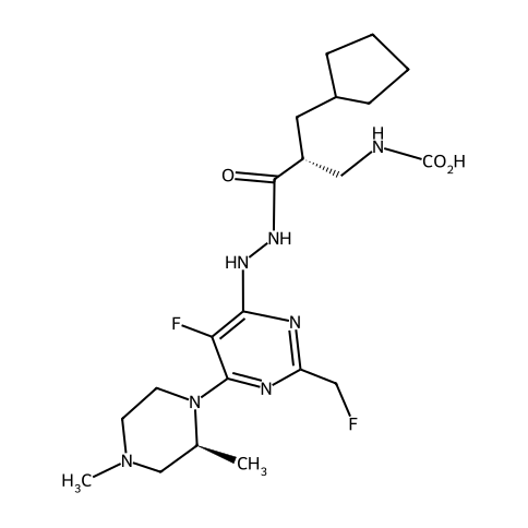 C[C@H]1CN(C)CCN1c1nc(CF)nc(NNC(=O)[C@@H](CNC(=O)O)CC2CCCC2)c1F